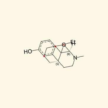 CCOC12CCCC[C@@]13CCN(C)[C@@H]2Cc1ccc(O)cc13